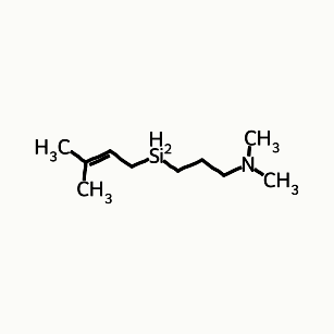 CC(C)=CC[SiH2]CCCN(C)C